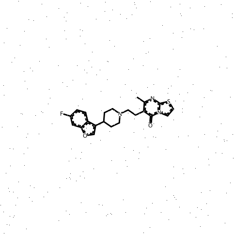 Cc1nc2sccn2c(=O)c1CCN1CCC(c2coc3cc(F)ccc23)CC1